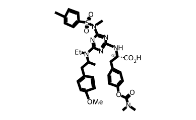 CCN(c1nc(N[C@@H](Cc2ccc(OC(=O)N(C)C)cc2)C(=O)O)nc(N(C)S(=O)(=O)c2ccc(C)cc2)n1)C(C)Cc1ccc(OC)cc1